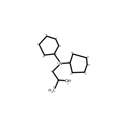 CC(O)CN(C1CCCCC1)C1CCCCC1